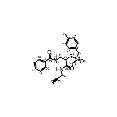 Cc1ccc(CS(=O)(=O)SC(CNC(=O)c2ccccc2)C(=O)NCC#N)cc1